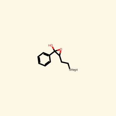 CCCCCCCCCC1OC1(O)c1ccccc1